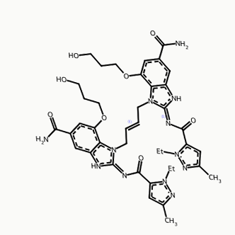 CCn1nc(C)cc1C(=O)N=c1[nH]c2cc(C(N)=O)cc(OCCCO)c2n1C/C=C/Cn1/c(=N/C(=O)c2cc(C)nn2CC)[nH]c2cc(C(N)=O)cc(OCCCO)c21